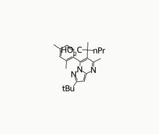 CCCC(C)(C(=O)O)c1c(C)nc2cc(C(C)(C)C)nn2c1-c1ccc(C)cc1C